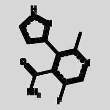 Cc1ncc(F)c(C(N)=O)c1-c1cc[nH]n1